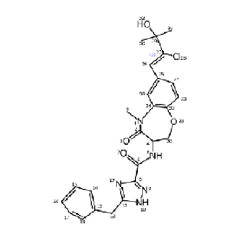 CN1C(=O)C(NC(=O)c2n[nH]c(Cc3ccccc3)n2)COc2ccc(/C=C(\Cl)C(C)(C)O)cc21